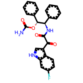 NC(=O)O[C@H](c1ccccc1)[C@H](NC(=O)C(=O)c1c[nH]c2cc(F)ccc12)c1ccccc1